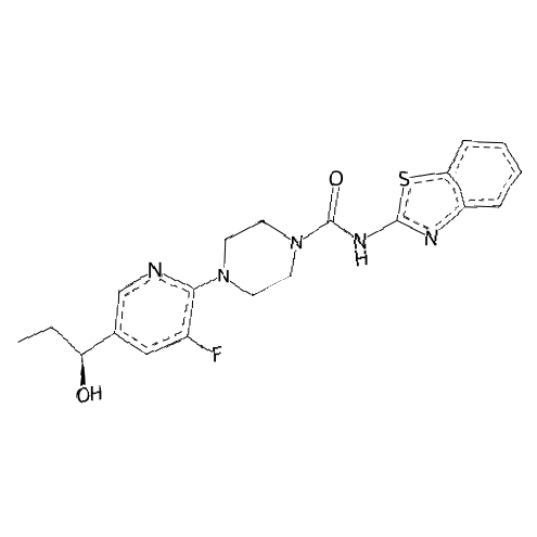 CC[C@H](O)c1cnc(N2CCN(C(=O)Nc3nc4ccccc4s3)CC2)c(F)c1